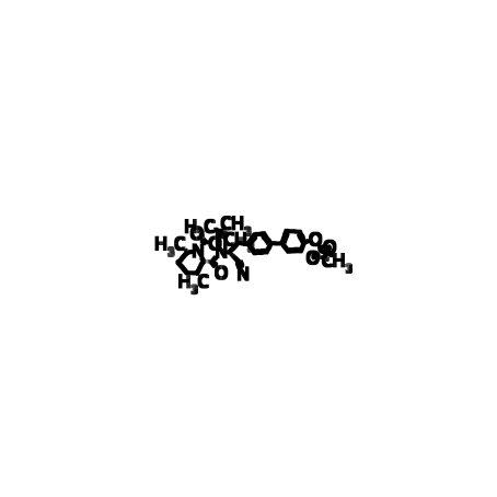 C[C@@H]1CC[C@H](C)N(C(=O)OC(C)(C)C)[C@@H]1C(=O)N[C@H](C#N)Cc1ccc(-c2ccc(OS(C)(=O)=O)cc2)cc1